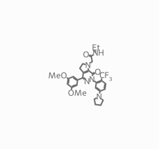 CCNC(=O)CN1CCc2c(-c3cc(OC)cc(OC)c3)nn(-c3cc(N4CCCC4)ccc3C(F)(F)F)c(=O)c21